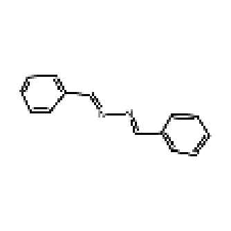 C(=NN=Cc1ccccc1)c1ccccc1